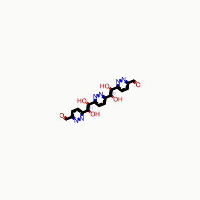 O=Cc1ccc(/C(O)=C(\O)c2ccc(/C(O)=C(\O)c3ccc(C=O)nn3)nn2)nn1